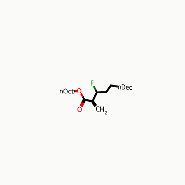 C=C(C(=O)OCCCCCCCC)C(F)CCCCCCCCCCCC